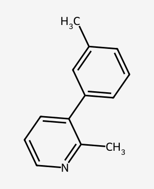 Cc1cccc(-c2cccnc2C)c1